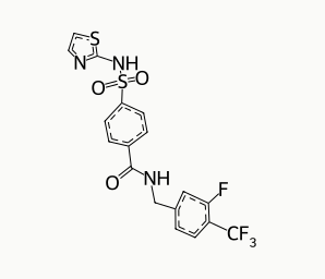 O=C(NCc1ccc(C(F)(F)F)c(F)c1)c1ccc(S(=O)(=O)Nc2nccs2)cc1